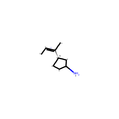 C/C=C(/C)[C@H]1CCC(N)C1